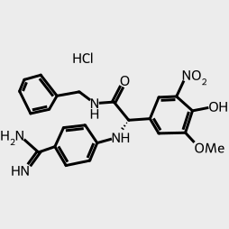 COc1cc([C@H](Nc2ccc(C(=N)N)cc2)C(=O)NCc2ccccc2)cc([N+](=O)[O-])c1O.Cl